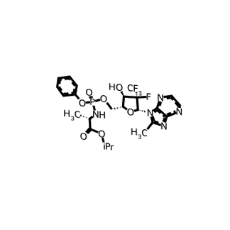 Cc1nc2nccnc2n1[C@@H]1O[C@H](COP(=O)(N[C@@H](C)C(=O)OC(C)C)Oc2ccccc2)[C@@H](O)[C@]1(F)C(F)(F)F